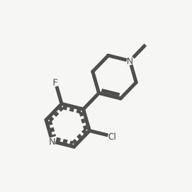 CN1CC=C(c2c(F)cncc2Cl)CC1